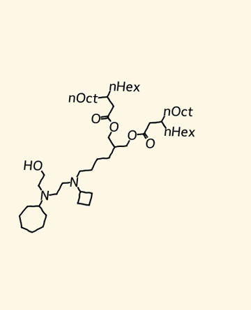 CCCCCCCCC(CCCCCC)CC(=O)OCC(CCCCN(CCN(CCO)C1CCCCCC1)C1CCC1)COC(=O)CC(CCCCCC)CCCCCCCC